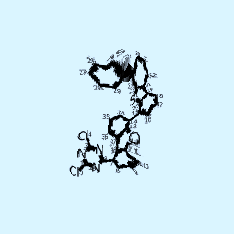 Clc1nc(Cl)nc(-c2cccc3oc4c(-c5cccc6c5sc5c(-c7ccccc7)cccc56)cccc4c23)n1